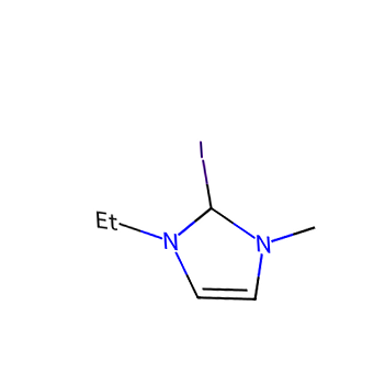 CCN1C=CN(C)C1I